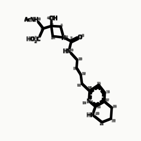 CC(=O)NC(C(=O)O)C1(O)CN(C(=O)NCCCCc2ccc3c(n2)NCCC3)C1